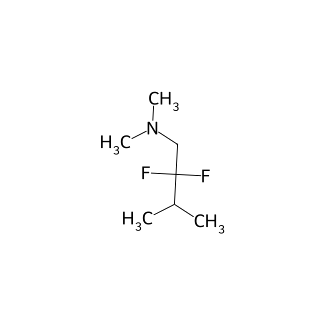 CC(C)C(F)(F)CN(C)C